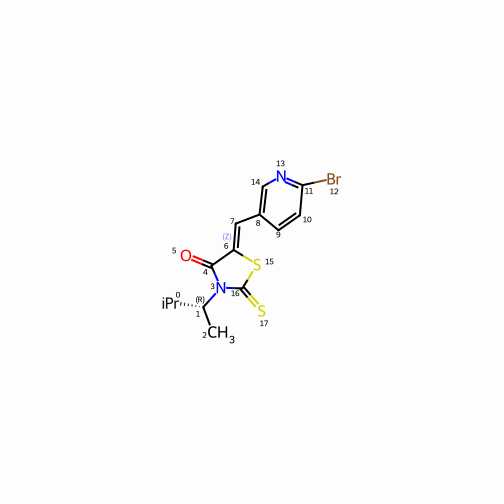 CC(C)[C@@H](C)N1C(=O)/C(=C/c2ccc(Br)nc2)SC1=S